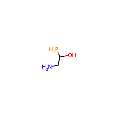 NCC(O)P